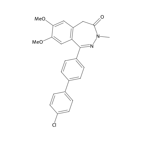 COc1cc2c(cc1OC)C(c1ccc(-c3ccc(Cl)cc3)cc1)=NN(C)C(=O)C2